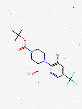 CC(C)(C)OC(=O)N1CCN(c2ncc(C(F)(F)F)cc2Br)[C@H](CO)C1